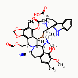 COc1c(C)cc2c(c1O)[C@H](N(C)C)[C@@H]1[C@H](SC[C@@]3(C)N[C@H](C(=O)O)Cc4c3[nH]c3ccccc43)c3c(OC(C)=O)c(C)c4c(c3[C@H](COC=O)N1[C@@H](C#N)C2)OCO4